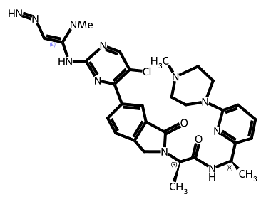 CN/C(=C\N=N)Nc1ncc(Cl)c(-c2ccc3c(c2)C(=O)N([C@H](C)C(=O)N[C@H](C)c2cccc(N4CCN(C)CC4)n2)C3)n1